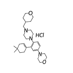 CC1(C)CC=C(c2cc(N3CCOCC3)ccc2N2CCN(CC3CCOCC3)CC2)CC1.Cl